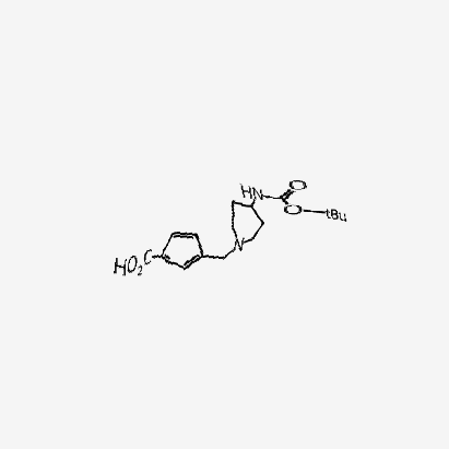 CC(C)(C)OC(=O)NC1CCN(Cc2ccc(C(=O)O)cc2)CC1